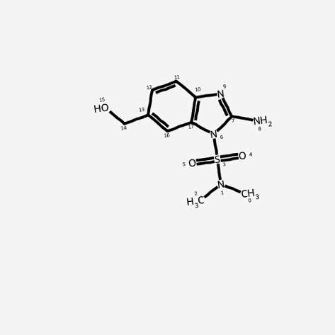 CN(C)S(=O)(=O)n1c(N)nc2ccc(CO)cc21